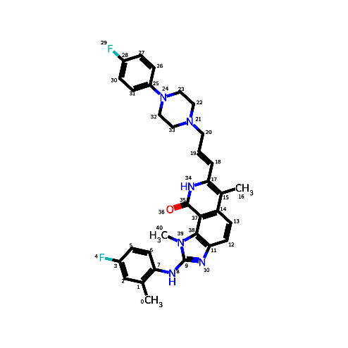 Cc1cc(F)ccc1Nc1nc2ccc3c(C)c(/C=C/CN4CCN(c5ccc(F)cc5)CC4)[nH]c(=O)c3c2n1C